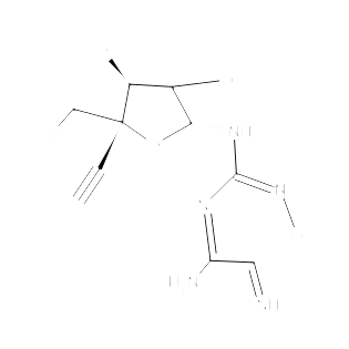 C#C[C@]1(CO)O[C@@H](NC(=N/O)/N=C(/N)C=N)[C@](C)(O)[C@@H]1O